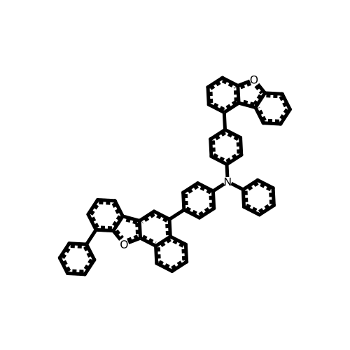 c1ccc(-c2cccc3c2oc2c4ccccc4c(-c4ccc(N(c5ccccc5)c5ccc(-c6cccc7oc8ccccc8c67)cc5)cc4)cc32)cc1